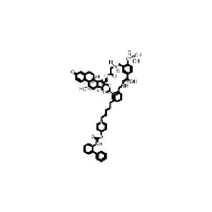 CC[N+](CC)(CC(=O)OCC(=O)[C@@]12O[C@H](C3CCCCC3)OC1CC1[C@@H]3CCC4=CC(=O)C=C[C@]4(C)C3[C@@H](O)C[C@@]12C)Cc1cc([C@@H](O)CNCCCCCCCCCN2CCC(OC(=O)Nc3ccccc3-c3ccccc3)CC2)ccc1OP(=O)(O)O